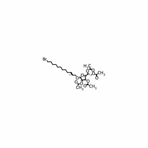 CC(=O)OC[C@@H](OC(C)=O)[C@@H]1O[C@@H](OC/C=C/CCCCCCCCCBr)[C@H](OC(C)=O)[C@H]1OC(C)=O